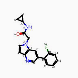 O=C(Cn1ccc2ncc(-c3ccccc3F)cc21)NC1CC1